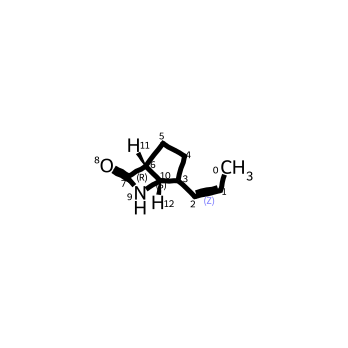 C/C=C\C1CC[C@H]2C(=O)N[C@@H]12